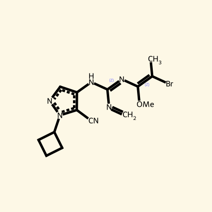 C=N/C(=N\C(OC)=C(/C)Br)Nc1cnn(C2CCC2)c1C#N